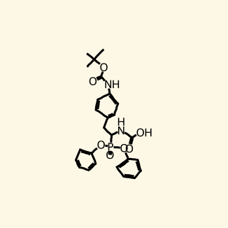 CC(C)(C)OC(=O)Nc1ccc(CC(NC(=O)O)P(=O)(Oc2ccccc2)Oc2ccccc2)cc1